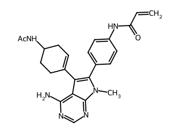 C=CC(=O)Nc1ccc(-c2c(C3=CCC(NC(C)=O)CC3)c3c(N)ncnc3n2C)cc1